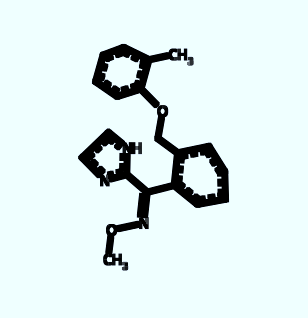 CON=C(c1ncc[nH]1)c1ccccc1COc1ccccc1C